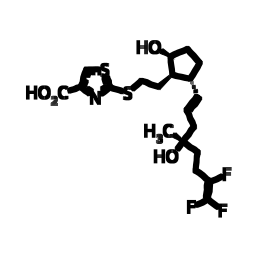 C[C@@](O)(C/C=C/[C@H]1CC[C@H](O)[C@@H]1CCSc1nc(C(=O)O)cs1)CCC(F)=C(F)F